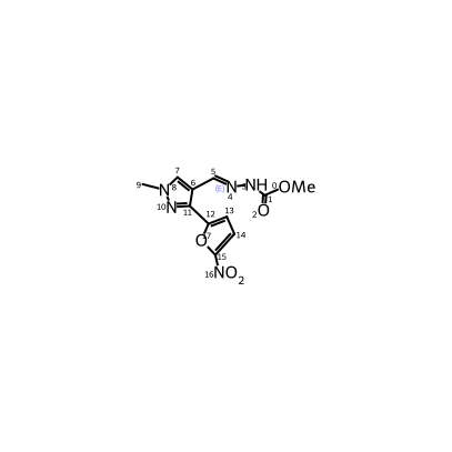 COC(=O)N/N=C/c1cn(C)nc1-c1ccc([N+](=O)[O-])o1